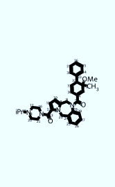 COC1(C)C=C(C(=O)N2Cc3ccc(C(=O)N4CCN(C(C)C)CC4)n3Cc3ccccc32)C=CC1c1ccccc1